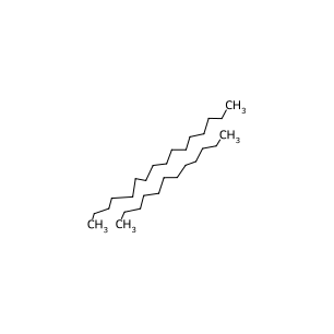 CCCCCCCCCCCC.CCCCCCCCCCCCCCCC